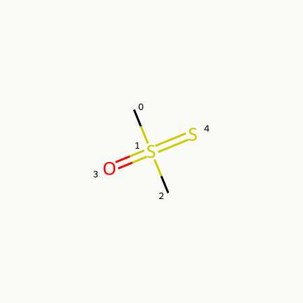 CS(C)(=O)=S